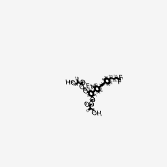 C=C(CO)C(=O)OCOc1cc(OCOC(=O)C(=C)CO)cc(-c2ccc(C#Cc3ccc(CCC=C(F)F)cc3)cc2CC)c1